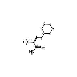 CC(=CCC1CCCCC1)C(=O)O